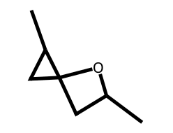 CC1CC2(CC2C)O1